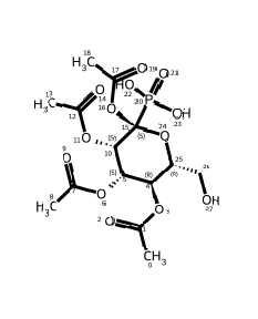 CC(=O)O[C@H]1[C@H](OC(C)=O)[C@H](OC(C)=O)[C@](OC(C)=O)(P(=O)(O)O)O[C@@H]1CO